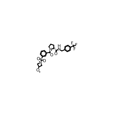 COC1CN(S(=O)(=O)c2cccc(C(=O)N3CCC[C@@H]3C(=O)NCc3ccc(C(F)(F)F)cc3)c2)C1